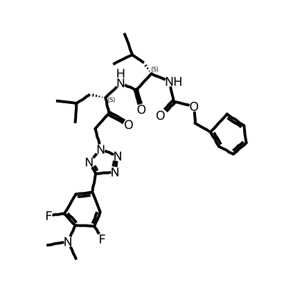 CC(C)C[C@H](NC(=O)[C@H](CC(C)C)NC(=O)OCc1ccccc1)C(=O)Cn1nnc(-c2cc(F)c(N(C)C)c(F)c2)n1